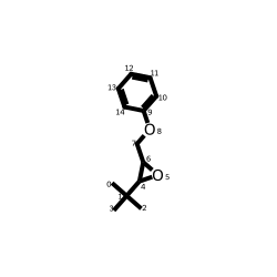 CC(C)(C)C1OC1COc1ccccc1